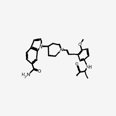 COc1ccc(NC(C)C(C)=O)cc1CCN1CCC(n2ccc3ccc(C(N)=O)cc32)CC1